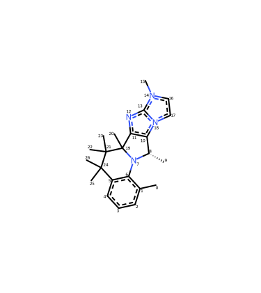 Cc1cccc2c1N1[C@@H](C)c3c(nc4n(C)ccn34)C1(C)C(C)(C)C2(C)C